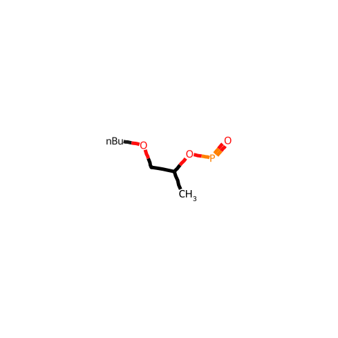 CCCCOCC(C)OP=O